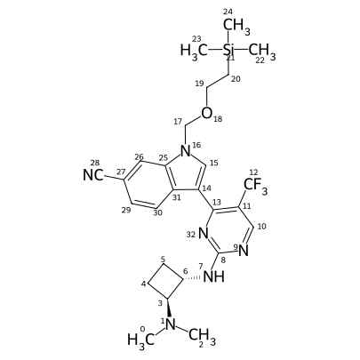 CN(C)[C@H]1CC[C@@H]1Nc1ncc(C(F)(F)F)c(-c2cn(COCC[Si](C)(C)C)c3cc(C#N)ccc23)n1